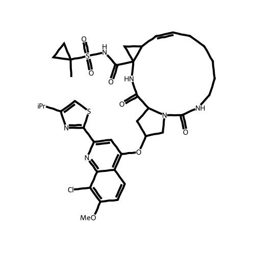 COc1ccc2c(OC3CC4C(=O)NC5(C(=O)NS(=O)(=O)C6(C)CC6)CC5/C=C\CCCCCNC(=O)N4C3)cc(-c3nc(C(C)C)cs3)nc2c1Cl